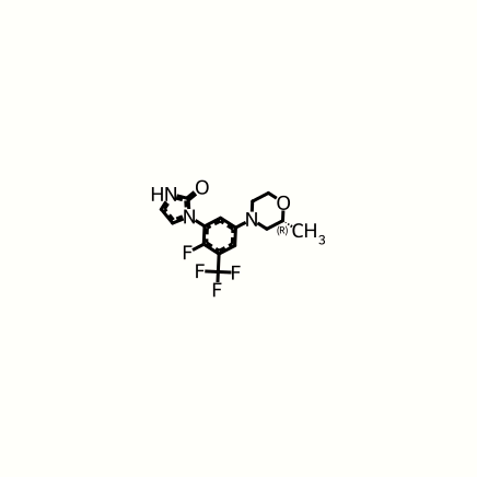 C[C@@H]1CN(c2cc(-n3cc[nH]c3=O)c(F)c(C(F)(F)F)c2)CCO1